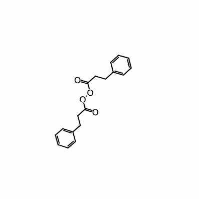 O=C(CCc1ccccc1)OOC(=O)CCc1ccccc1